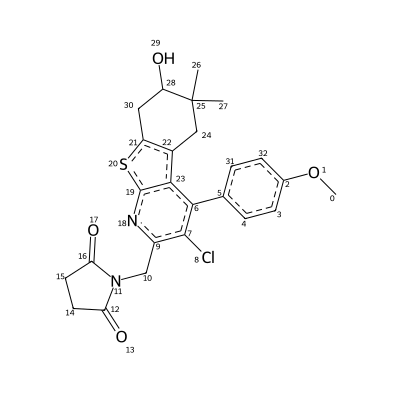 COc1ccc(-c2c(Cl)c(CN3C(=O)CCC3=O)nc3sc4c(c23)CC(C)(C)C(O)C4)cc1